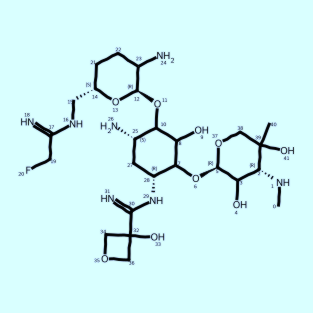 CN[C@@H]1C(O)[C@@H](OC2C(O)C(O[C@H]3O[C@H](CNC(=N)CF)CCC3N)[C@@H](N)C[C@H]2NC(=N)C2(O)COC2)OCC1(C)O